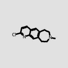 CN1CCc2cc3ccc(Cl)nc3cc2CC1